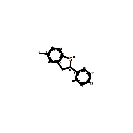 Cc1ccc2c(c1)CC(c1ccccc1)S2